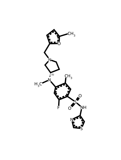 Cc1ccc(CN2CC[C@H](N(C)c3cc(F)c(S(=O)(=O)Nc4cscn4)cc3C)C2)o1